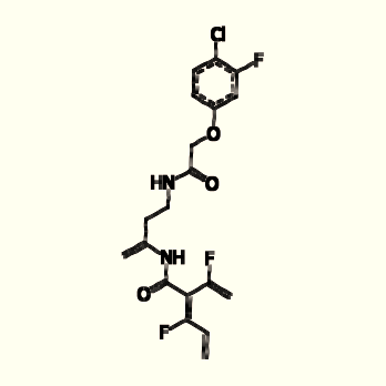 C=C/C(F)=C(\C(=C)F)C(=O)NC(=C)CCNC(=O)COc1ccc(Cl)c(F)c1